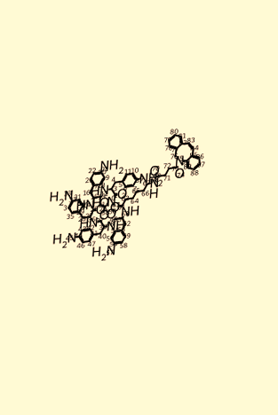 NC(=O)C(Cc1ccc(N)cc1)NC(=O)C(Cc1ccc(N)cc1)NC(=O)C(Cc1ccc(N)cc1)NC(=O)C(Cc1ccc(N)cc1)NC(=O)C(Cc1ccc(N)cc1)NC(=O)CCCCCNC(=O)CCC(=O)N1Cc2ccccc2/C=C\c2ccccc21